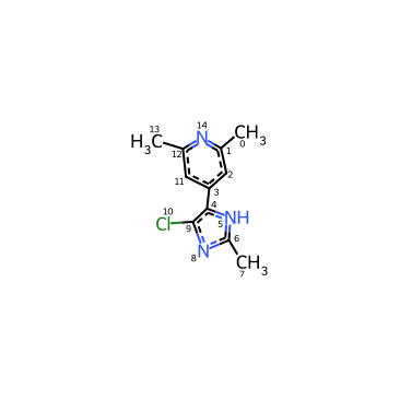 Cc1cc(-c2[nH]c(C)nc2Cl)cc(C)n1